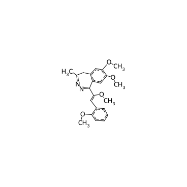 COC(=Cc1ccccc1OC)C1=NN=C(C)Cc2cc(OC)c(OC)cc21